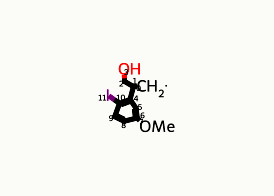 [CH2]C(CO)c1cc(OC)ccc1I